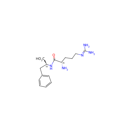 NC(N)=NCCC[C@H](N)C(=O)N[C@@H](Cc1ccccc1)C(=O)O